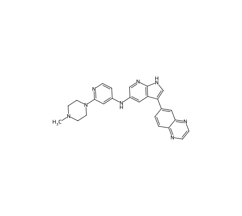 CN1CCN(c2cc(Nc3cnc4[nH]cc(-c5ccc6nccnc6c5)c4c3)ccn2)CC1